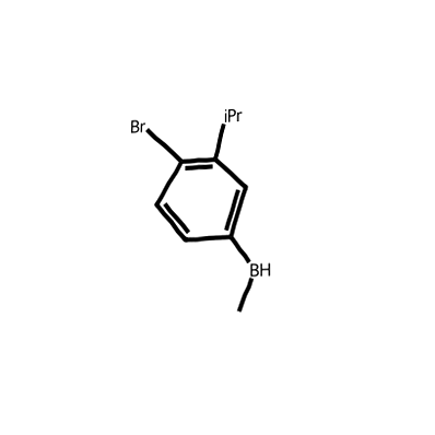 CBc1ccc(Br)c(C(C)C)c1